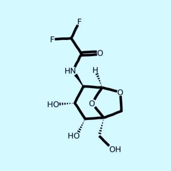 O=C(N[C@H]1[C@H]2OC[C@](CO)(O2)[C@H](O)[C@@H]1O)C(F)F